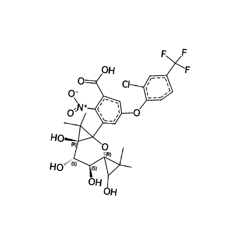 CC1(C)C2(c3cc(Oc4ccc(C(F)(F)F)cc4Cl)cc(C(=O)O)c3[N+](=O)[O-])O[C@]3(C(O)C3(C)C)[C@@H](O)[C@H](O)[C@]12O